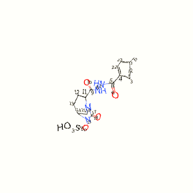 [CH2]c1ccc(C(=O)NNC(=O)C2CCC3CN2C(=O)N3OS(=O)(=O)O)cc1